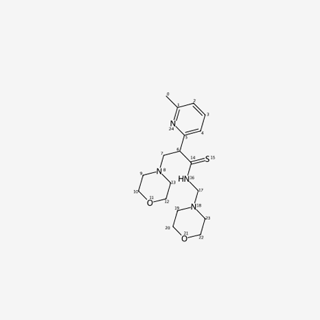 Cc1cccc(C(CN2CCOCC2)C(=S)NCN2CCOCC2)n1